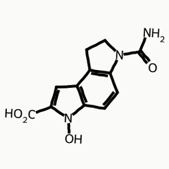 NC(=O)N1CCc2c1ccc1c2cc(C(=O)O)n1O